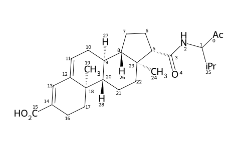 CC(=O)C(NC(=O)[C@H]1CC[C@H]2[C@@H]3CC=C4C=C(C(=O)O)CC[C@]4(C)[C@H]3CC[C@]12C)C(C)C